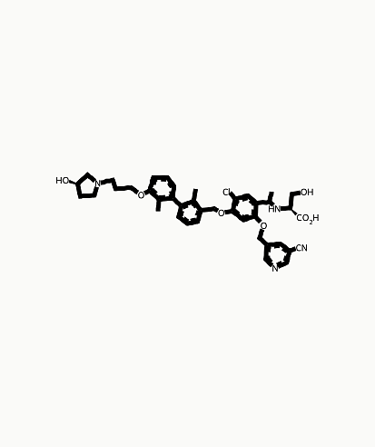 Cc1c(COc2cc(OCc3cncc(C#N)c3)c(C(C)N[C@@H](CO)C(=O)O)cc2Cl)cccc1-c1cccc(OCCCN2CC[C@@H](O)C2)c1C